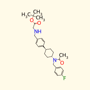 CC(=O)N(Cc1ccc(F)cc1)[C@H]1CC[C@H](c2ccc(CNCC(=O)OC(C)(C)C)cc2)CC1